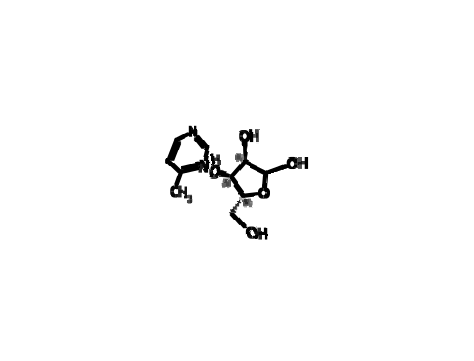 Cc1ccncn1.OC[C@H]1OC(O)[C@H](O)[C@@H]1O